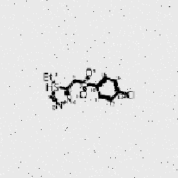 CC[SH]1C=NN=C1CS(=O)(=O)c1ccc(Cl)cc1